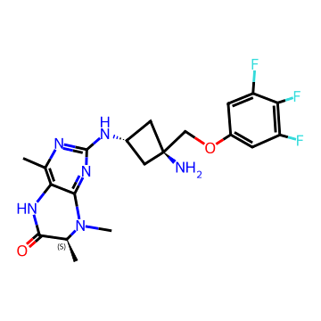 Cc1nc(N[C@H]2C[C@@](N)(COc3cc(F)c(F)c(F)c3)C2)nc2c1NC(=O)[C@H](C)N2C